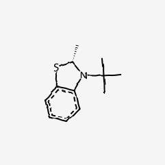 C[C@H]1Sc2ccccc2N1C(C)(C)C